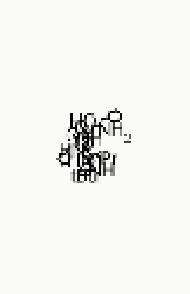 CC(C)CC(NS(=O)(=O)NC(C)(C)C)C(=O)NC(Cc1ccccc1)C(=O)NC(=O)C[C@H](O)[C@@H](N)CC1CCCCC1